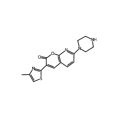 Cc1csc(-c2cc3ccc(N4CCNCC4)nc3oc2=O)n1